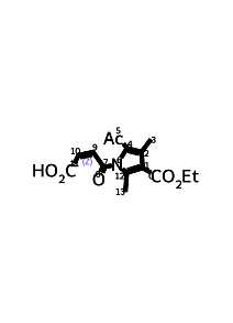 CCOC(=O)c1c(C)c(C(C)=O)n(C(=O)/C=C\C(=O)O)c1C